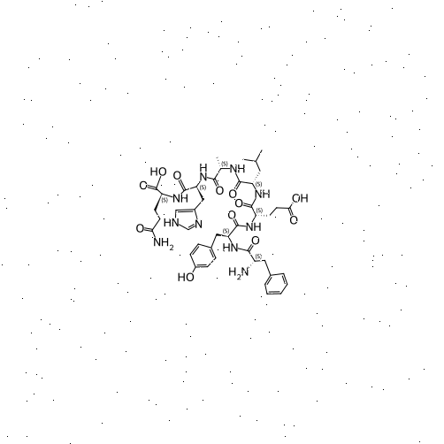 CC(C)C[C@H](NC(=O)[C@H](CCC(=O)O)NC(=O)[C@H](Cc1ccc(O)cc1)NC(=O)[C@@H](N)Cc1ccccc1)C(=O)N[C@@H](C)C(=O)N[C@@H](Cc1c[nH]cn1)C(=O)N[C@@H](CCC(N)=O)C(=O)O